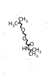 CC(C)CCOCCOCCC(=O)NC(C)C